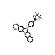 CC1(C)OB(c2ccc(-n3c4cc5ccccc5cc4c4cc5ccccc5cc43)cc2)OC1(C)C